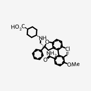 COc1ccc(C(N)=O)c(-c2c(Cl)ccc3c2C[C@@](CN[C@H]2CC[C@H](C(=O)O)CC2)(c2ccccc2)O3)c1F